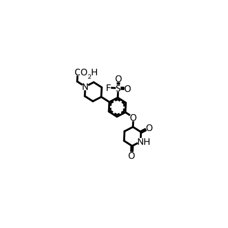 O=C(O)CN1CCC(c2ccc(OC3CCC(=O)NC3=O)cc2S(=O)(=O)F)CC1